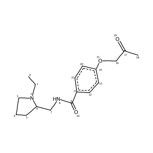 CCN1CCCC1CNC(=O)c1ccc(OCC(C)=O)cc1